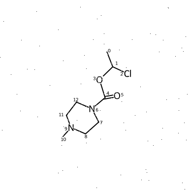 CC(Cl)OC(=O)N1CCN(C)CC1